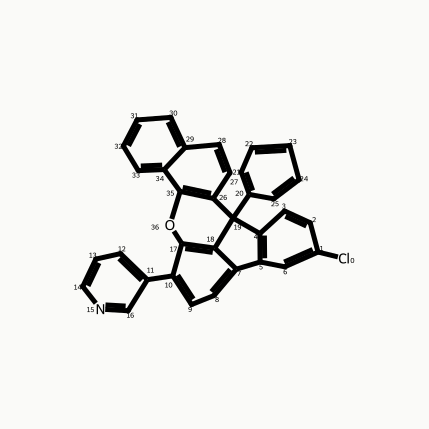 Clc1ccc2c(c1)-c1ccc(-c3cccnc3)c3c1C2(c1ccccc1)c1ccc2ccccc2c1O3